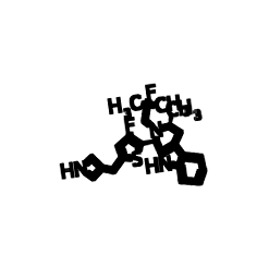 C[C@@H]1Cc2c([nH]c3ccccc23)[C@@H](c2sc(CC3CNC3)cc2F)N1CC(C)(C)F